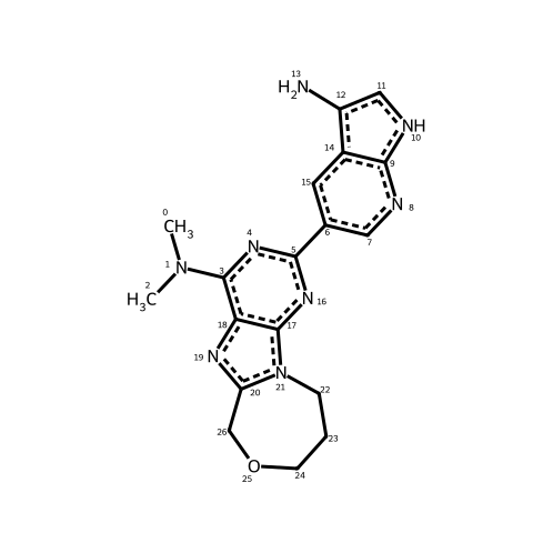 CN(C)c1nc(-c2cnc3[nH]cc(N)c3c2)nc2c1nc1n2CCCOC1